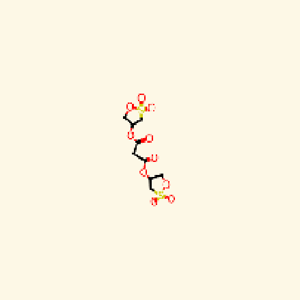 O=C(CC(=O)OC1COS(=O)(=O)C1)OC1COS(=O)(=O)C1